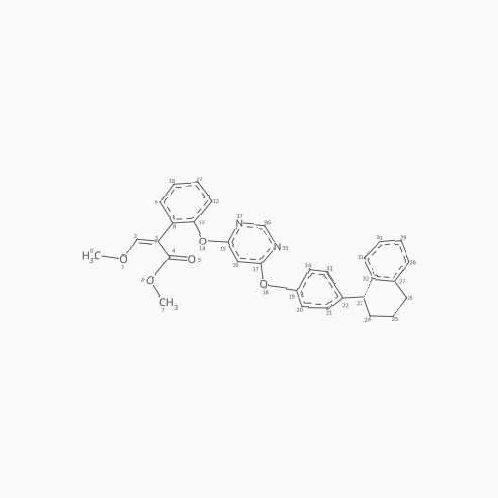 COC=C(C(=O)OC)c1ccccc1Oc1cc(Oc2ccc(C3CCCc4ccccc43)cc2)ncn1